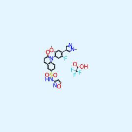 COc1cc(-c2cnn(C)c2)c(F)cc1-n1c(=O)ccc2cc(S(=O)(=O)Nc3ccon3)ccc21.O=C(O)C(F)(F)F